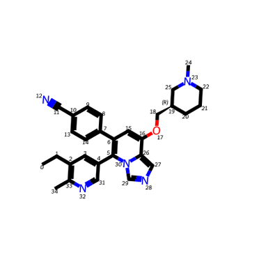 CCc1cc(-c2c(-c3ccc(C#N)cc3)cc(OC[C@@H]3CCCN(C)C3)c3cncn23)cnc1C